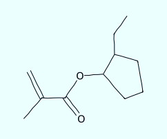 C=C(C)C(=O)OC1CCCC1CC